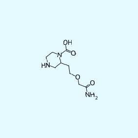 NC(=O)COCCC1CNCCN1C(=O)O